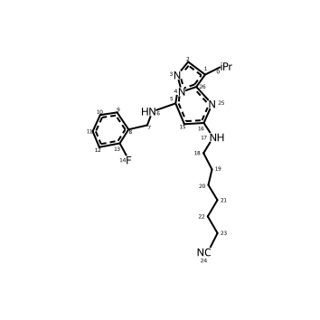 CC(C)c1cnn2c(NCc3ccccc3F)cc(NCCCCCCC#N)nc12